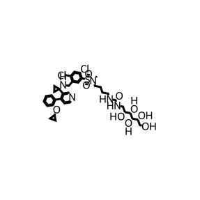 CN(CCCCNC(=O)NCC(O)C(O)C(O)C(O)CO)S(=O)(=O)c1cc(CNC2(c3cnccc3-c3ccccc3OC3CC3)CC2)c(Cl)cc1Cl